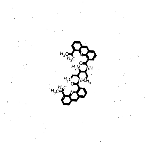 CCC(NC(=O)c1cccc2cc3cccc(C(C)C)c3nc12)C(N)C(CC)NC(=O)c1cccc2cc3cccc(C(C)C)c3nc12